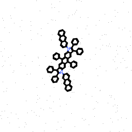 c1ccc(-c2c3cc4c(-c5ccccc5)c(-c5ccccc5)n(-c5ccc6cc7ccccc7cc6c5)c4cc3c(-c3ccccc3)c3cc4c(-c5ccccc5)c(-c5ccccc5)n(-c5ccc6cc7ccccc7cc6c5)c4cc23)cc1